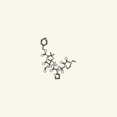 CCN1CCN(C(=O)NC(C(=O)N[C@]2(NC=O)C(=O)N3[C@@H](C(=O)OCc4ccccc4)C(C)(C)S[C@@H]32)c2cccs2)C(=O)C1=O